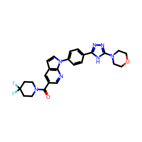 O=C(c1cnc2c(ccn2-c2ccc(-c3nnc(N4CCOCC4)[nH]3)cc2)c1)N1CCC(F)(F)CC1